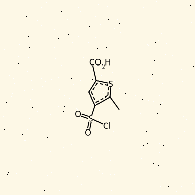 Cc1sc(C(=O)O)cc1S(=O)(=O)Cl